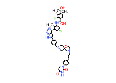 Cc1c(NC(O)c2ccc(C(C)(C)O)cc2F)cc(F)cc1-c1ncnc2[nH]c(-c3ccc(CN4CCC5(CC4)CN(CCCc4ccc(N6CCC(=O)NC6=O)cc4)CCO5)cc3)cc12